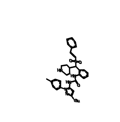 Cc1ccc(-n2nc(C(C)(C)C)cc2NC(=O)Nc2ccccc2C(C2CCNCC2)S(=O)(=O)C=Cc2ccccc2)cc1